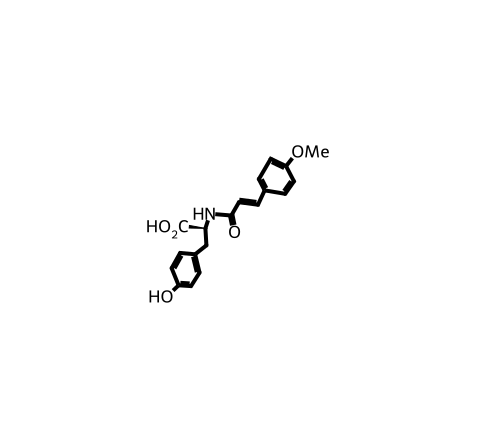 COc1ccc(/C=C/C(=O)N[C@@H](Cc2ccc(O)cc2)C(=O)O)cc1